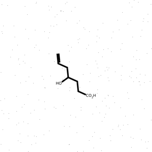 C=CCC(O)CCC(=O)O